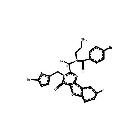 CC(C)[C@H](c1nc2c(oc3ccc(F)cc32)c(=O)n1Cc1ccc(Br)s1)N(CCN)C(=O)c1ccc(Br)cc1